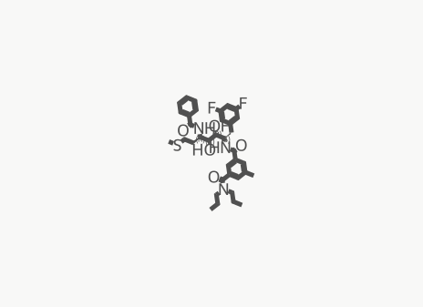 CCCN(CCC)C(=O)c1cc(C)cc(C(=O)N[C@@H](Cc2cc(F)cc(F)c2)[C@@H](O)[C@H](O)[C@@H](CCSC)NC(=O)c2ccccc2)c1